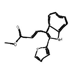 COC(=O)/C=C/c1c(-c2cccs2)[nH]c2ccccc12